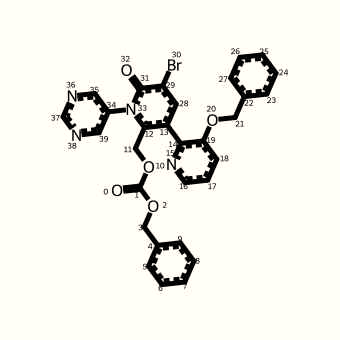 O=C(OCc1ccccc1)OCc1c(-c2ncccc2OCc2ccccc2)cc(Br)c(=O)n1-c1cncnc1